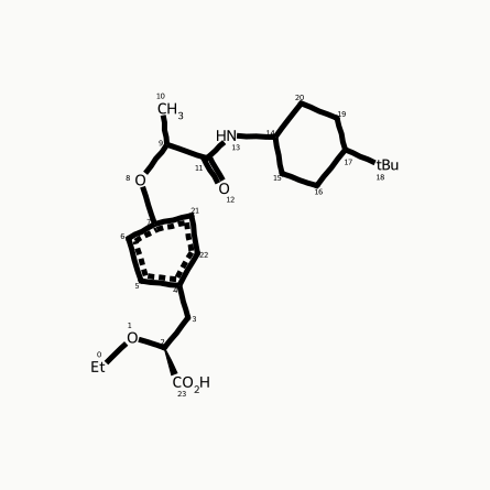 CCO[C@@H](Cc1ccc(OC(C)C(=O)NC2CCC(C(C)(C)C)CC2)cc1)C(=O)O